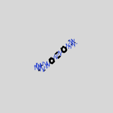 Cn1nc[n+](C)c1N=Nc1ccc(N2CCN(c3ccc(N=Nc4n(C)nc[n+]4C)cc3)CC2)cc1